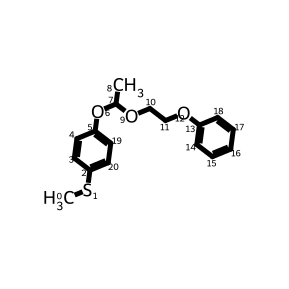 CSc1ccc(OC(C)OCCOc2ccccc2)cc1